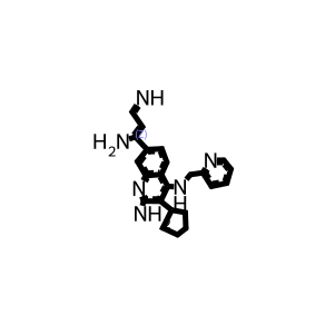 N=C/C=C(\N)c1ccc2c(NCc3ccccn3)c(C3CCCC3)c(N)nc2c1